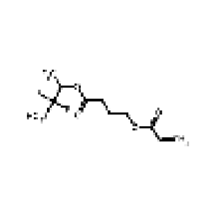 C=CC(=O)OCCCC(=O)OC(C(F)(F)F)C(F)(F)S(=O)(=O)O